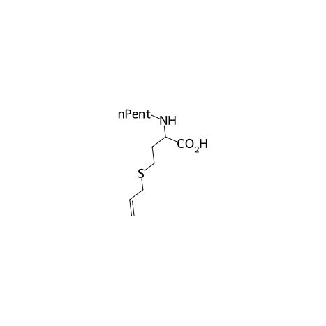 C=CCSCCC(NCCCCC)C(=O)O